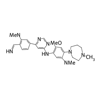 CNc1cc(-c2cc(Nc3cc(NC)c(N4CCCN(C)CC4)cc3OC)ncn2)ccc1C=N